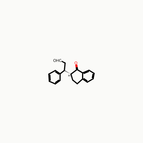 O=CCC(c1ccccc1)[C@H]1CCc2ccccc2C1=O